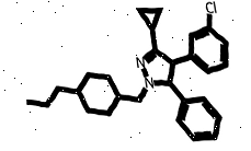 CCCC1CCC(CN2N=C(C3CC3)C(c3cccc(Cl)c3)C2c2ccccc2)CC1